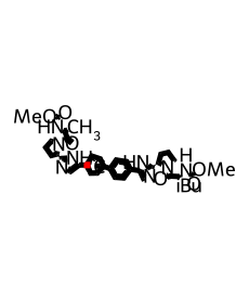 CC[C@H](C)[C@H](NC(=O)OC)C(=O)N1CCC[C@H]1c1ncc(-c2ccc(C34CCC(c5cnc([C@@H]6CCCN6C(=O)C(C)NC(=O)OC)[nH]5)(CC3)CC4)cc2)[nH]1